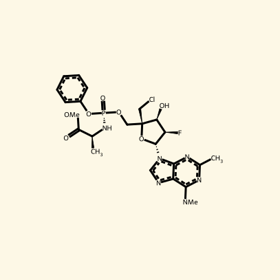 CNc1nc(C)nc2c1ncn2[C@@H]1O[C@](CCl)(CO[P@@](=O)(N[C@@H](C)C(=O)OC)Oc2ccccc2)[C@@H](O)[C@H]1F